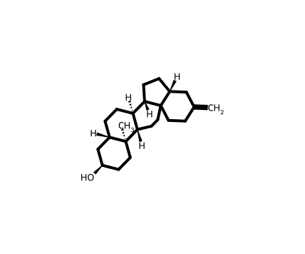 C=C1CCC23CC[C@H]4[C@@H](CC[C@H]5C[C@H](O)CC[C@@]54C)[C@@H]2CC[C@@H]3C1